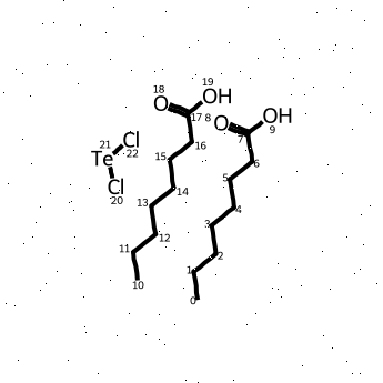 CCCCCCCC(=O)O.CCCCCCCC(=O)O.Cl[Te]Cl